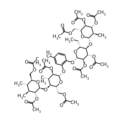 CC[C@H]1O[C@@H](Oc2ccc(C)cc2O[C@@H]2O[C@H](COC(C)=O)[C@@H](O[C@@H]3O[C@H](COC(C)=O)[C@@H](C)[C@H](C)[C@H]3OC(C)=O)[C@H](C)[C@H]2OC(C)=O)[C@H](OC(C)=O)[C@@H](OC(C)=O)[C@@H]1O[C@@H]1O[C@H](COC(C)=O)[C@@H](OC(C)=O)[C@H](OC(C)=O)[C@H]1C